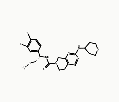 COC[C@@H](NC(=O)N1CCc2cnc(NC3CCOCC3)nc2C1)c1ccc(Cl)c(F)c1